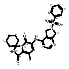 Cc1cc(Nc2ncnc3c2CN(S(=O)(=O)c2ccccc2)C3)c(=O)n2c1C(=O)NC21CCCCC1